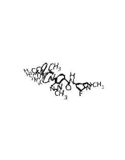 Cc1ncc2c(N3C[C@@H](C)N(C(=O)OC(C)(C)C)[C@@H](C)C3)ccc(C(=O)Nc3cc(F)c4nn(C)cc4c3)c2n1